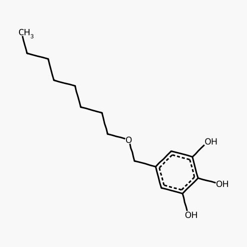 CCCCCCCCOCc1cc(O)c(O)c(O)c1